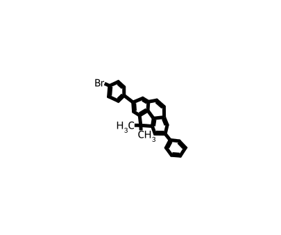 CC1(C)c2cc(-c3ccccc3)cc3ccc4cc(-c5ccc(Br)cc5)cc1c4c23